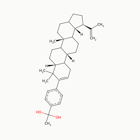 C=C(C)[C@@H]1CCC2CC[C@@]3(C)C4CC[C@@H]5C(CC=C(c6ccc(C(C)(O)O)cc6)C5(C)C)[C@H]4CCC3[C@H]21